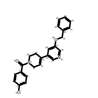 O=C(c1ccc(Cl)cc1)N1CC=C(c2cncc(OCc3ccccc3)c2)CC1